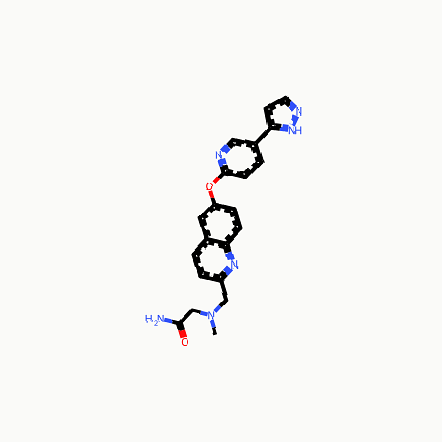 CN(CC(N)=O)Cc1ccc2cc(Oc3ccc(-c4ccn[nH]4)cn3)ccc2n1